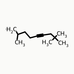 [CH2]C(C)CCC#CCC(C)(C)C